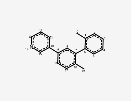 Cc1ccccc1-c1cc(-c2cccnc2)ccc1C